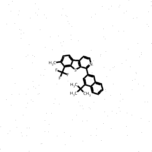 Cc1ccc2c(sc3c(-c4cc(C(C)(C)C)c5ccccc5c4)nccc32)c1C(F)(F)F